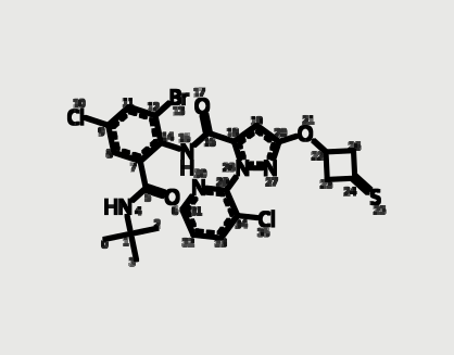 CC(C)(C)NC(=O)c1cc(Cl)cc(Br)c1NC(=O)c1cc(OC2CC(=S)C2)nn1-c1ncccc1Cl